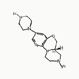 CC(=O)N1CCN(c2cnc3c(c2)OC[C@@H]2CN(C(C)C)CCN32)CC1